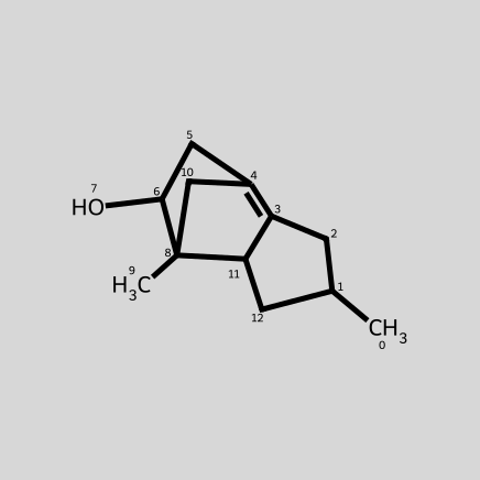 CC1CC2=C3CC(O)C(C)(C3)C2C1